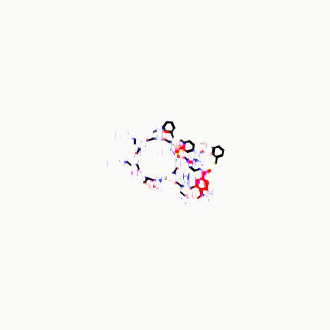 Cc1ccc(N(C(=O)Oc2c(CSSCC(=O)N[C@H](C(=O)N[C@@H](CCN)C(=O)N[C@H]3CCNC(=O)[C@H]([C@@H](C)O)NC(=O)[C@H](CCN)NC(=O)[C@H](CCN)NC(=O)[C@H](CC(C)C)NC(=O)[C@@H](Cc4ccccc4)NC(=O)[C@H](CCN)NC3=O)[C@@H](C)O)cccc2C(C)(C)C)c2nccc(N(C)c3ccc4c(C)n(C)nc4c3)n2)cc1S(N)(=O)=O